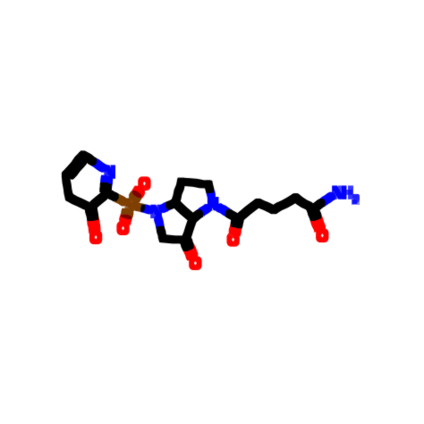 NC(=O)CCCC(=O)N1CCC2C1C(=O)CN2S(=O)(=O)C1=NC=CCC1=O